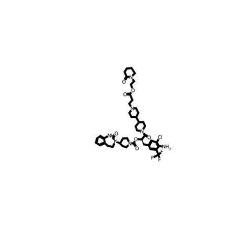 Nc1c(Cl)cc(C[C@@H](OC(=O)N2CCC(N3CCc4ccccc4NC3=O)CC2)C(=O)N2CCC(C3CCN(CCC(=O)OCCN4CCCCC4=O)CC3)CC2)cc1C(F)(F)F